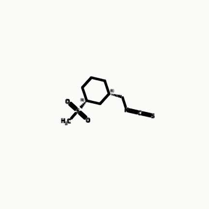 CS(=O)(=O)[C@@H]1CCC[C@H](CN=C=S)C1